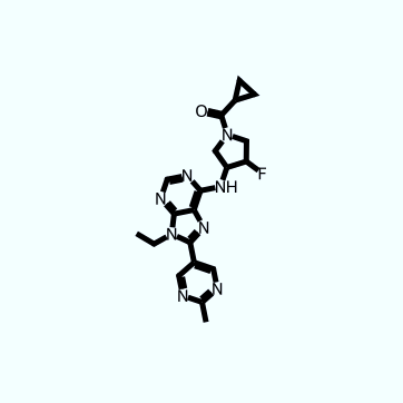 CCn1c(-c2cnc(C)nc2)nc2c(NC3CN(C(=O)C4CC4)CC3F)ncnc21